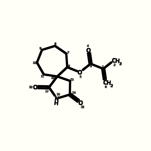 C=C(C)C(=O)OC1CCCCCC12CC(=O)NC2=O